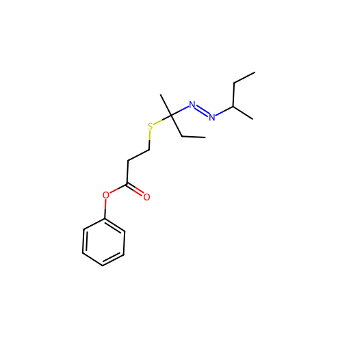 CCC(C)N=NC(C)(CC)SCCC(=O)Oc1ccccc1